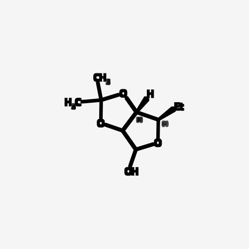 CC[C@H]1OC(O)C2OC(C)(C)O[C@@H]21